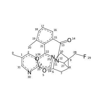 Cc1ccc(OC2CC3CCC2N(C(=O)c2cccc(C)c2-c2ncco2)C3CF)nc1